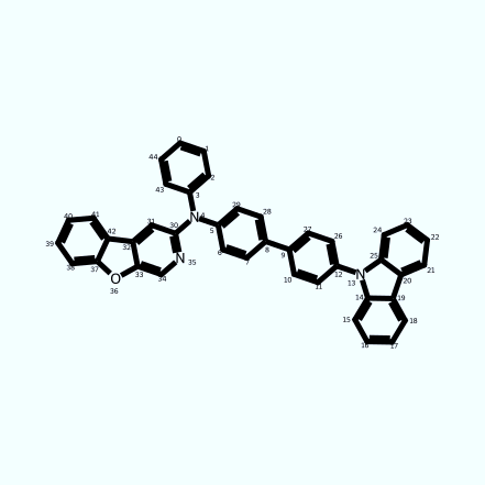 c1ccc(N(c2ccc(-c3ccc(-n4c5ccccc5c5ccccc54)cc3)cc2)c2cc3c(cn2)oc2ccccc23)cc1